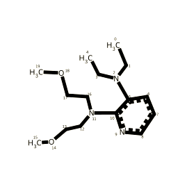 CCN(CC)c1cccnc1N(CCOC)CCOC